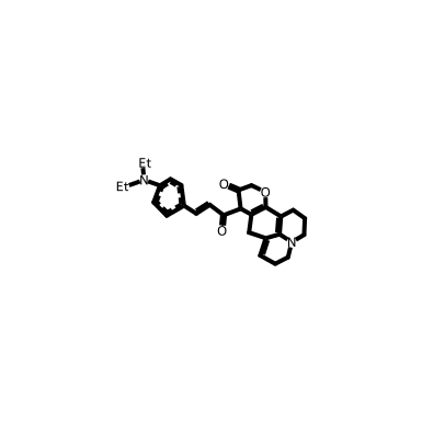 CCN(CC)c1ccc(C=CC(=O)C2C(=O)COC3=C2CC2=CCCN4CCCC3=C24)cc1